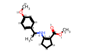 COC(=O)C1=C(NC(C)c2ccc(OC)cc2)CCC1